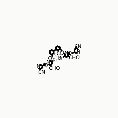 N#Cc1cncc(COc2nc(OCc3cccc(-c4cccc(COc5nc(OCc6cncc(C#N)c6)c(C=O)cc5Br)c4Cl)c3Cl)c(Br)cc2C=O)c1